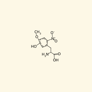 COc1cc([N+](=O)[O-])c(CC(N)C(=O)O)cc1O